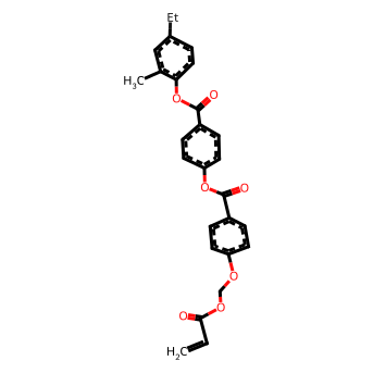 C=CC(=O)OCOc1ccc(C(=O)Oc2ccc(C(=O)Oc3ccc(CC)cc3C)cc2)cc1